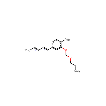 COCCOCOc1cc(/C=C/C=C/C(=O)O)ccc1OC